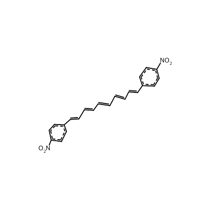 O=[N+]([O-])c1ccc(C=CC=CC=CC=CC=Cc2ccc([N+](=O)[O-])cc2)cc1